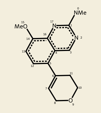 CNc1ncc2c(C3=CCOCC3)ccc(OC)c2n1